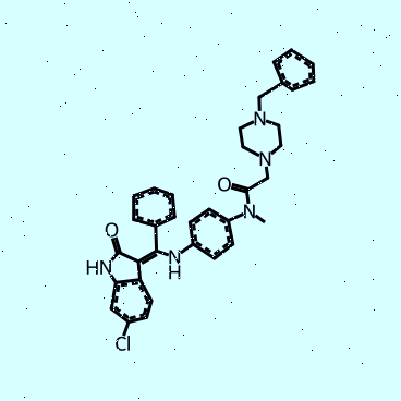 CN(C(=O)CN1CCN(Cc2ccccc2)CC1)c1ccc(NC(=C2C(=O)Nc3cc(Cl)ccc32)c2ccccc2)cc1